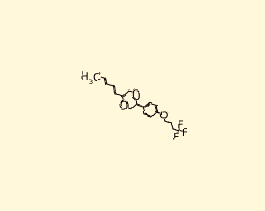 CCCCCC1COC(c2ccc(OCCCC(F)(F)F)cc2)CO1